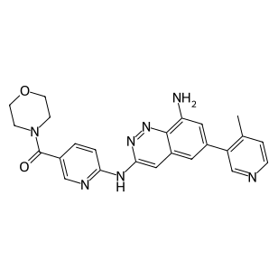 Cc1ccncc1-c1cc(N)c2nnc(Nc3ccc(C(=O)N4CCOCC4)cn3)cc2c1